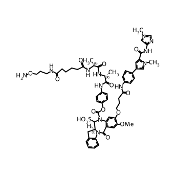 COc1cc2c(cc1OCCCC(=O)Nc1ccc(-c3cc(C(=O)Nc4cn(C)cn4)n(C)c3)cc1)N(C(=O)Oc1ccc(NC(=O)[C@@H](C)NC(=O)[C@@H](C)NC(=O)CCCCC(=O)NCCCON)cc1)C(S(=O)(=O)O)[C@@H]1Cc3ccccc3N1C2=O